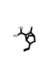 C=CC1CC2CC1C(C(O)CC)C2C